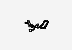 CC(C)NCC(CCl)OCc1ccccc1